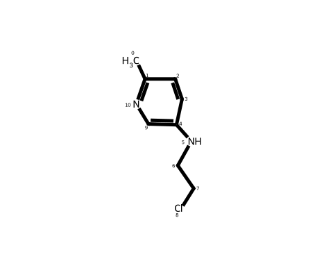 Cc1ccc(NCCCl)cn1